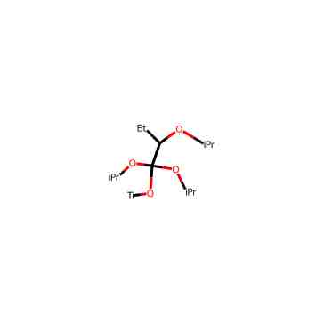 CCC(OC(C)C)C([O][Ti])(OC(C)C)OC(C)C